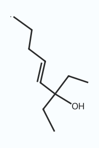 [CH2]CC/C=C/C(O)(CC)CC